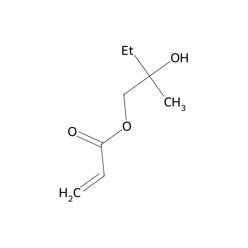 C=CC(=O)OCC(C)(O)CC